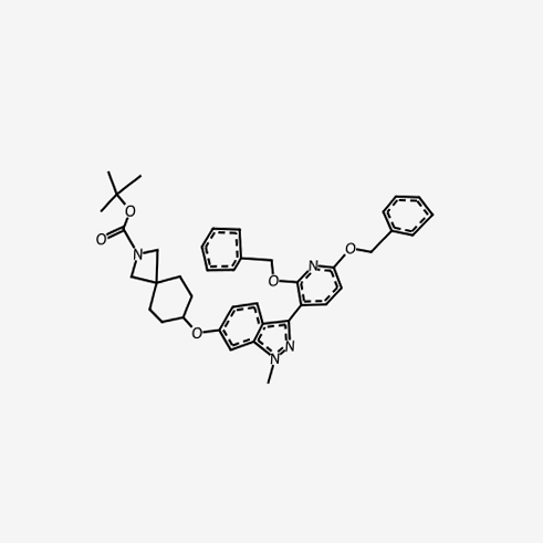 Cn1nc(-c2ccc(OCc3ccccc3)nc2OCc2ccccc2)c2ccc(OC3CCC4(CC3)CN(C(=O)OC(C)(C)C)C4)cc21